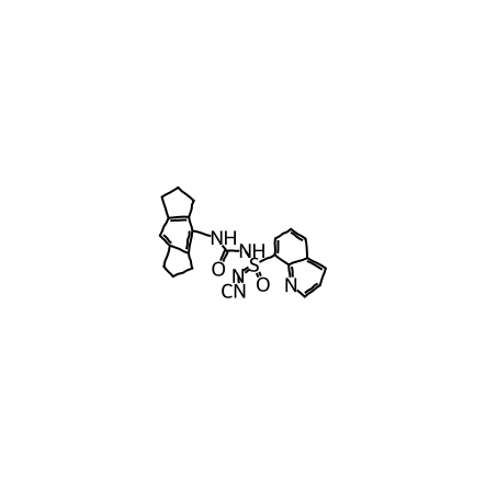 N#CN=S(=O)(NC(=O)Nc1c2c(cc3c1CCC3)CCC2)c1cccc2cccnc12